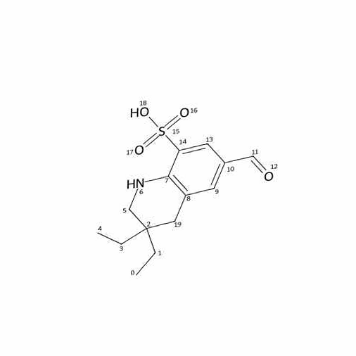 CCC1(CC)CNc2c(cc(C=O)cc2S(=O)(=O)O)C1